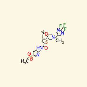 CCS(=O)(=O)c1ccc(CNC(=O)c2cc3c(s2)C2(CCN(C(C)c4cnc(C(F)(F)F)nc4)CC2)OC2(CC2)C3)nc1